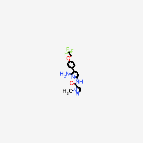 Cn1nccc1C(=O)Nc1ccc(-c2ccc(OCC(F)(F)F)cc2)c(N)n1